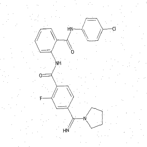 N=C(c1ccc(C(=O)Nc2ccccc2C(=O)Nc2ccc(Cl)cc2)c(F)c1)N1CCCC1